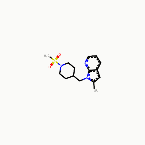 CC(C)(C)c1cc2cccnc2n1CC1CCN(S(C)(=O)=O)CC1